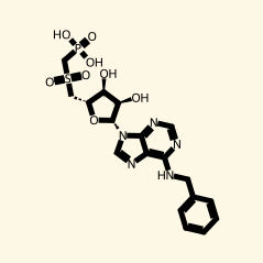 O=P(O)(O)CS(=O)(=O)C[C@H]1O[C@@H](n2cnc3c(NCc4ccccc4)ncnc32)[C@H](O)[C@@H]1O